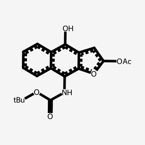 CC(=O)Oc1cc2c(O)c3ccccc3c(NC(=O)OC(C)(C)C)c2o1